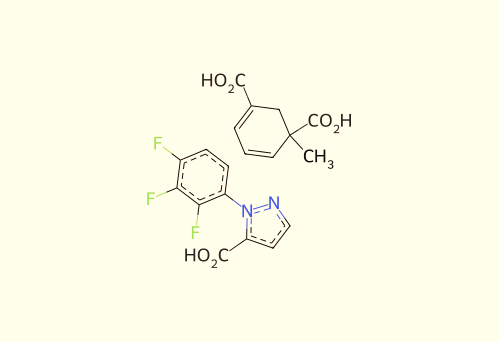 CC1(C(=O)O)C=CC=C(C(=O)O)C1.O=C(O)c1ccnn1-c1ccc(F)c(F)c1F